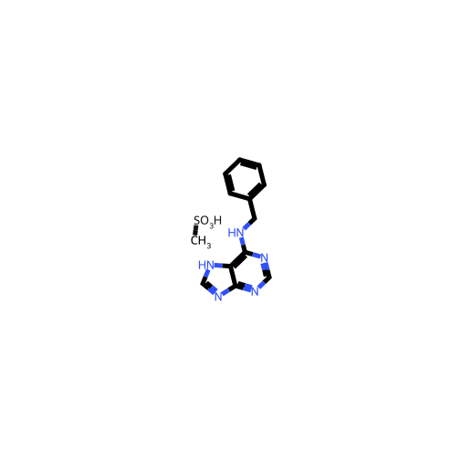 CS(=O)(=O)O.c1ccc(CNc2ncnc3nc[nH]c23)cc1